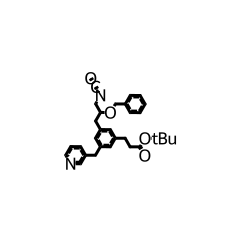 CC(C)(C)OC(=O)CCc1cc(Cc2cccnc2)cc(CC(CN=C=O)OCc2ccccc2)c1